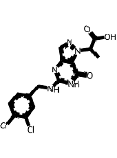 CC(C(=O)O)n1ncc2nc(NCc3ccc(Cl)c(Cl)c3)[nH]c(=O)c21